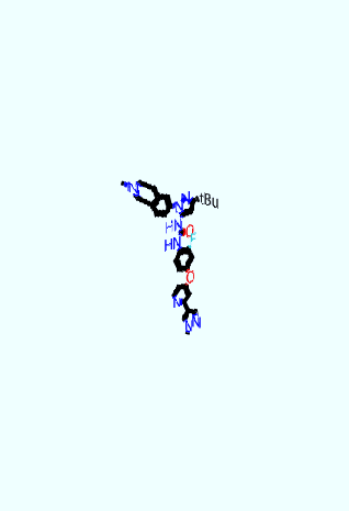 CN1CCc2cc(-n3nc(C(C)(C)C)cc3NC(=O)Nc3ccc(Oc4ccnc(-c5cnn(C)c5)c4)cc3F)ccc2C1